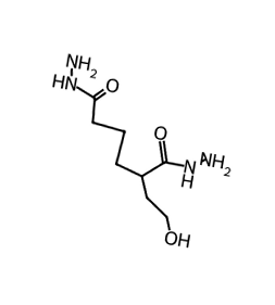 NNC(=O)CCCC(CCO)C(=O)NN